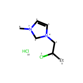 CCC(Cl)CN1C=CN(C)C1.Cl